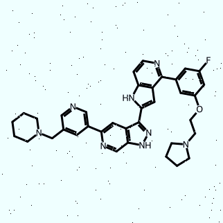 Fc1cc(OCCN2CCCC2)cc(-c2nccc3[nH]c(-c4n[nH]c5cnc(-c6cncc(CN7CCCCC7)c6)cc45)cc23)c1